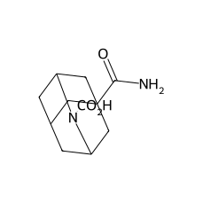 NC(=O)C12CC3CC(C1)N(C(=O)O)C(C3)C2